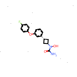 NC(=O)N(O)[C@H]1C[C@H](c2cccc(Oc3ccc(F)cc3)c2)C1